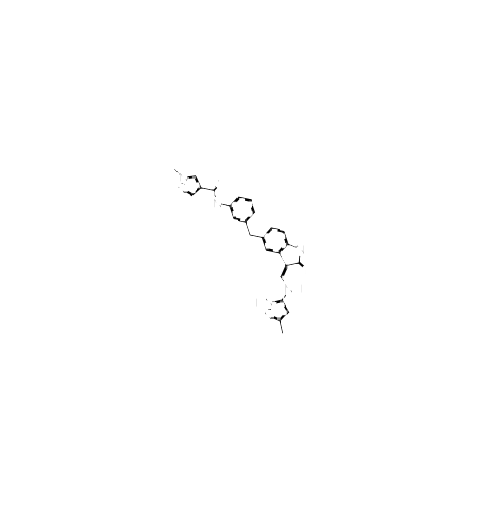 Cc1cc(N/C=C2\C(=O)Nc3ccc(Cc4cccc(NC(=O)c5cnn(C)c5)c4)cc32)[nH]n1